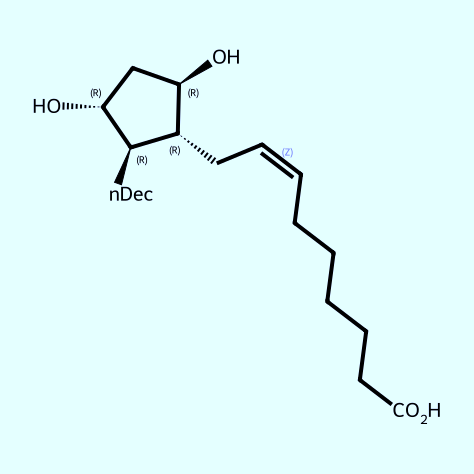 CCCCCCCCCC[C@@H]1[C@@H](C/C=C\CCCCCC(=O)O)[C@H](O)C[C@H]1O